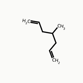 C=CCC(C)CC=C